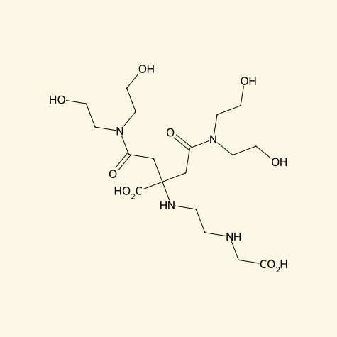 O=C(O)CNCCNC(CC(=O)N(CCO)CCO)(CC(=O)N(CCO)CCO)C(=O)O